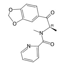 C[C@H](C(=O)c1ccc2c(c1)OCO2)N(C)C(=O)c1ccccn1